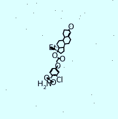 C#C[C@]1(OC(=O)COc2ccc(S(N)(=O)=O)c(Cl)c2)CCC2C3CCC4=CC(=O)CCC4C3CC[C@@]21CC